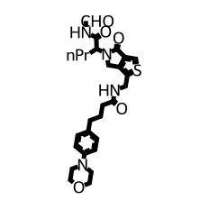 CCCC(C(=O)NC=O)N1Cc2c(csc2CNC(=O)CCCc2ccc(N3CCOCC3)cc2)C1=O